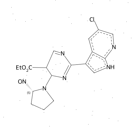 CCOC(=O)C1C=NC(c2c[nH]c3ncc(Cl)cc23)=NC1N1CCC[C@@H]1N=O